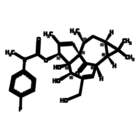 CC1=C[C@]23C(=O)[C@@H](C=C(CO)[C@@H](O)[C@]2(O)[C@H]1OC(=O)N(C)c1ccc(F)cc1)[C@H]1[C@@H](C[C@H]3C)C1(C)C